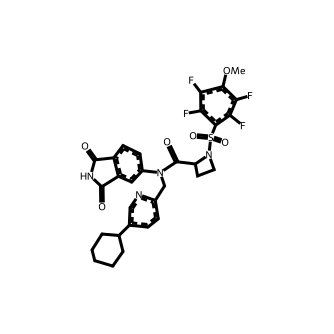 COc1c(F)c(F)c(S(=O)(=O)N2CCC2C(=O)N(Cc2ccc(C3CCCCC3)cn2)c2ccc3c(c2)C(=O)NC3=O)c(F)c1F